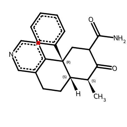 C[C@@H]1C(=O)C(C(N)=O)C[C@@]2(c3ccccc3)c3ncncc3CC[C@@H]12